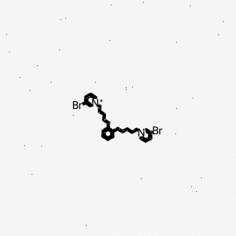 Brc1ccc[n+](CCCCCc2ccccc2CCCCC[n+]2cccc(Br)c2)c1